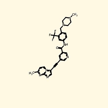 Cc1ccn2c(C#Cc3cncc(C(=O)Nc4ccc(CN5CCN(C)CC5)c(C(F)(F)F)c4)c3)cnc2n1